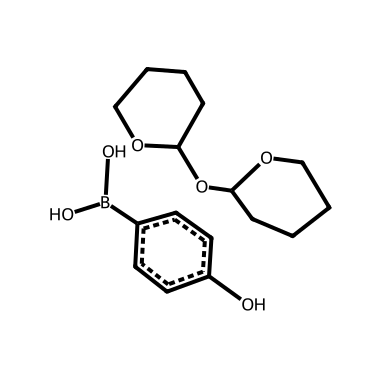 C1CCC(OC2CCCCO2)OC1.OB(O)c1ccc(O)cc1